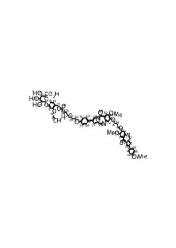 C#CCOc1cc(O[C@@H]2O[C@H](C(=O)O)[C@@H](O)[C@H](O)[C@H]2O)ccc1COC(=O)NCCOCCOc1ccc(C2=CN3C(=O)c4cc(OC)c(OCCCOc5cc6c(cc5OC)C(=O)N5C=C(c7ccc(OC)cc7)CC5C=N6)cc4N=CC3C2)cc1